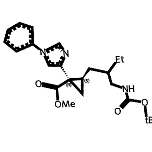 CCC(CNC(=O)OC(C)(C)C)C[C@H]1C[C@]1(C(=O)OC)c1cn(-c2ccccc2)cn1